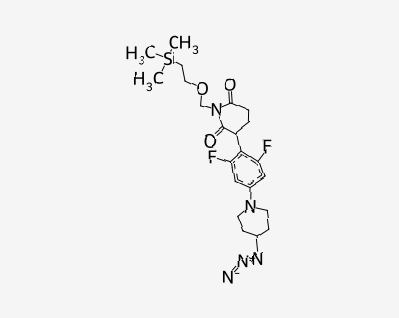 C[Si](C)(C)CCOCN1C(=O)CCC(c2c(F)cc(N3CCC(N=[N+]=[N-])CC3)cc2F)C1=O